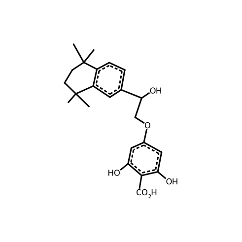 CC1(C)CCC(C)(C)c2cc(C(O)COc3cc(O)c(C(=O)O)c(O)c3)ccc21